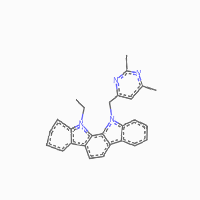 CCn1c2ccccc2c2ccc3c4ccccc4n(Cc4cc(C)nc(C)n4)c3c21